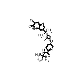 BC(B)(B)NC(=O)c1ccc(O[C@H]2CN(C(B)(B)c3cnc4cc(CC)c(=O)[nH]c4c3)[C@@H]2C)cn1